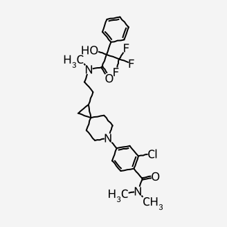 CN(C)C(=O)c1ccc(N2CCC3(CC2)CC3CCN(C)C(=O)C(O)(c2ccccc2)C(F)(F)F)cc1Cl